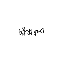 Cn1cnc2ncn(Cc3nc([C@H]4C5=CN(c6cccnc6)C[C@@H]54)no3)c(=O)c21